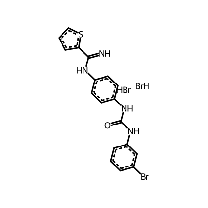 Br.Br.N=C(Nc1ccc(NC(=O)Nc2cccc(Br)c2)cc1)c1cccs1